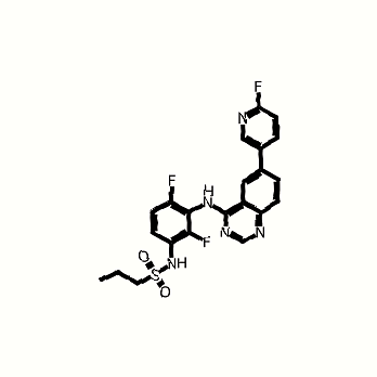 CCCS(=O)(=O)Nc1ccc(F)c(Nc2ncnc3ccc(-c4ccc(F)nc4)cc23)c1F